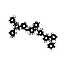 Cc1ccccc1-n1c2ccccc2c2cc(-c3ccc(-n4c5ccccc5c5cc(Cc6cccc(-c7nc(-c8ccccc8)nc(-c8ccccc8)n7)c6)ccc54)cc3)ccc21